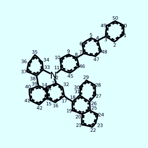 c1ccc(-c2ccc(-c3ccc(N(c4cccc(-c5cc6ccccc6c6ccccc56)c4)c4ccccc4-c4ccccc4)cc3)cc2)cc1